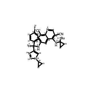 [2H]C(Nc1cc(Cl)c2ncc(C#N)c(NC3(C(C)(C)C)CC3)c2c1)(c1ccc(F)cc1)c1cn(C2CC2)nn1